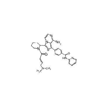 CN(C)CC=CC(=O)N1CCCCC1c1nc(-c2ccc(C(=O)Nc3ccccn3)cc2)c2c(N)nccn12